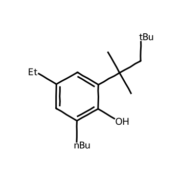 CCCCc1cc(CC)cc(C(C)(C)CC(C)(C)C)c1O